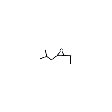 CCC1OC1CC(C)C